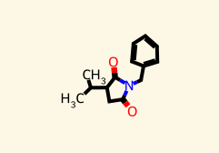 CC(C)C1CC(=O)N(Cc2ccccc2)C1=O